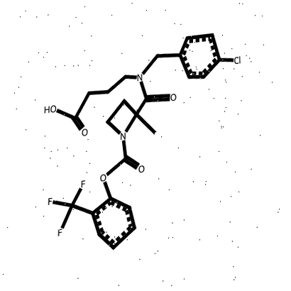 CC1(C(=O)N(CCCC(=O)O)Cc2ccc(Cl)cc2)CCN1C(=O)Oc1ccccc1C(F)(F)F